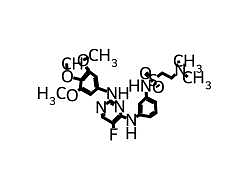 COc1cc(Nc2ncc(F)c(Nc3cccc(NS(=O)(=O)CCN(C)C)c3)n2)cc(OC)c1OC